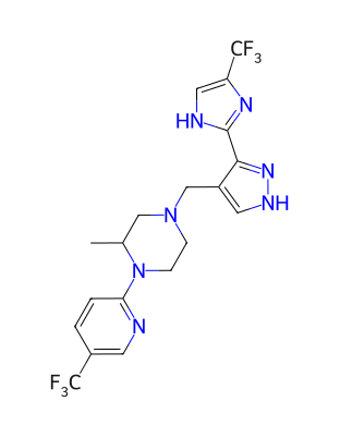 CC1CN(Cc2c[nH]nc2-c2nc(C(F)(F)F)c[nH]2)CCN1c1ccc(C(F)(F)F)cn1